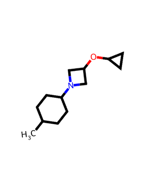 CC1CCC(N2CC(OC3CC3)C2)CC1